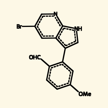 COc1ccc(C=O)c(-c2c[nH]c3ncc(Br)cc23)c1